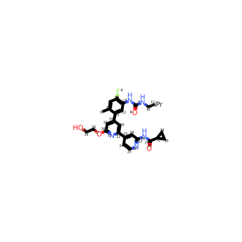 Cc1cc(F)c(NC(=O)NCC(C)C)cc1-c1cc(OCCO)nc(-c2ccnc(NC(=O)C3CC3)c2)c1